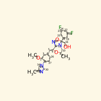 COc1cc(/C=C2\O[C@@H](C)CN3C2=NO[C@]3(CO)c2cc(F)cc(F)c2)ccc1-n1cnc(C)c1